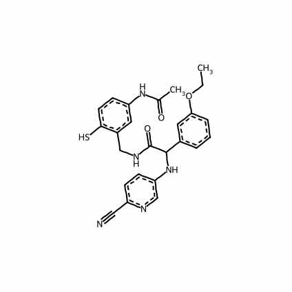 CCOc1cccc(C(Nc2ccc(C#N)nc2)C(=O)NCc2cc(NC(C)=O)ccc2S)c1